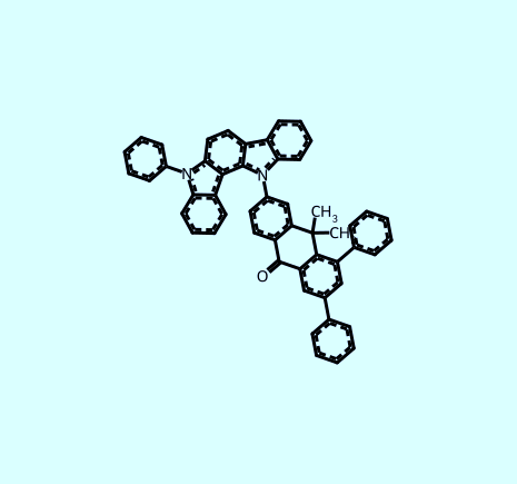 CC1(C)c2cc(-n3c4ccccc4c4ccc5c(c6ccccc6n5-c5ccccc5)c43)ccc2C(=O)c2cc(-c3ccccc3)cc(-c3ccccc3)c21